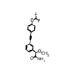 COC(C(N)=O)c1cccc(C#Cc2ccc(OC(F)F)cc2)c1